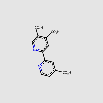 O=C(O)c1ccnc(-c2cc(C(=O)O)c(C(=O)O)cn2)c1